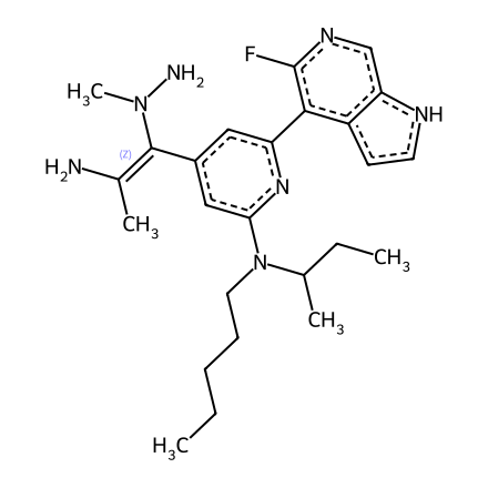 CCCCCN(c1cc(/C(=C(\C)N)N(C)N)cc(-c2c(F)ncc3[nH]ccc23)n1)C(C)CC